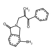 Bc1cccc2c1CN(CC(=C)C(=O)c1ccccc1)C2=O